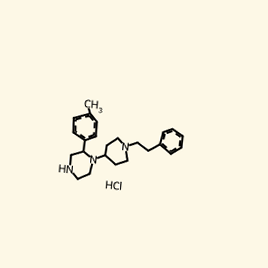 Cc1ccc(C2CNCCN2C2CCN(CCc3ccccc3)CC2)cc1.Cl